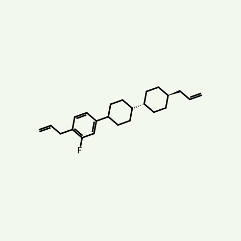 C=CCc1ccc(C2CCC([C@H]3CC[C@H](CC=C)CC3)CC2)cc1F